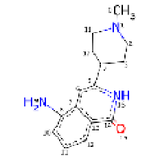 CN1CCC(c2cc3c(N)cccc3c(=O)[nH]2)CC1